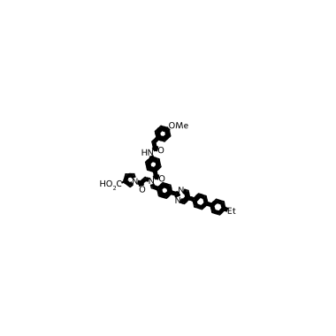 CCC1CCC(C2CC=C(c3cnc(-c4ccc(CN(CC(=O)N5CC[C@H](C(=O)O)C5)C(=O)c5ccc(NC(=O)Cc6ccc(OC)cc6)cc5)cc4)nc3)CC2)CC1